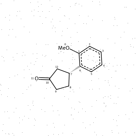 COc1ccccc1[C@@H]1CCC(=O)C1